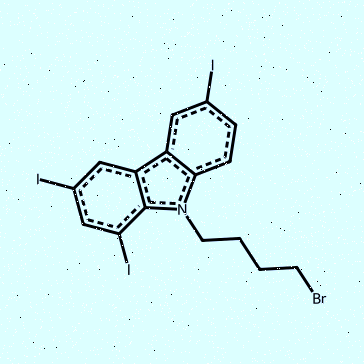 BrCCCCn1c2ccc(I)cc2c2cc(I)cc(I)c21